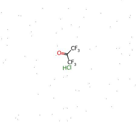 Cl.O=C(C(F)(F)F)C(F)(F)F